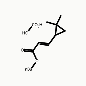 CCCCOC(=O)C=CC1CC1(C)C.O=C(O)O